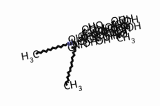 CCCCCCCCCCCCC/C=C/[C@@H](O)[C@H](CO[C@@H]1OC(CO)[C@@H](O[C@@H]2OC(CO)[C@H](O[C@@H]3OC(CO)[C@H](O)[C@H](O[C@@H]4OC(CO)[C@H](O[C@@H]5OC(CO)[C@H](O)[C@H](O)C5O)[C@H](O)C4NC(C)=O)C3O)[C@H](O)C2O)[C@H](O)C1O)NC(=O)CCCCCCCCCCCCCCC